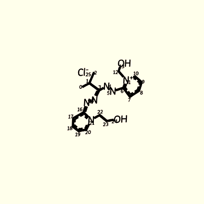 CC(C)C(N=Nc1cccc[n+]1CO)=NN=c1ccccn1CCO.[Cl-]